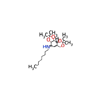 CCCCCCCCN[C@@H]1C=C2COC(C)(C)O[C@@H]2C2OC(C)(C)OC21